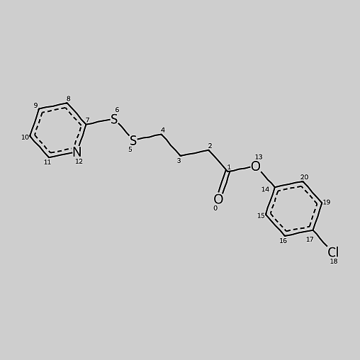 O=C(CCCSSc1ccccn1)Oc1ccc(Cl)cc1